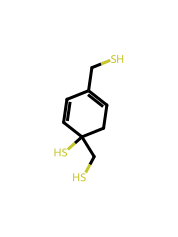 SCC1=CCC(S)(CS)C=C1